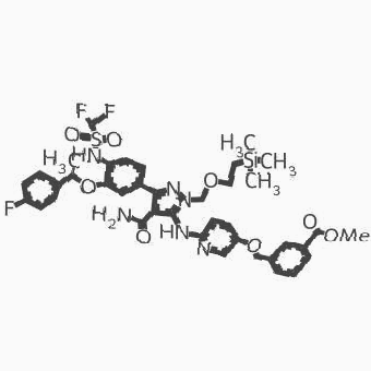 COC(=O)c1cccc(COc2ccc(Nc3c(C(N)=O)c(-c4ccc(NS(=O)(=O)C(F)F)c(O[C@@H](C)c5ccc(F)cc5)c4)nn3COCC[Si](C)(C)C)nc2)c1